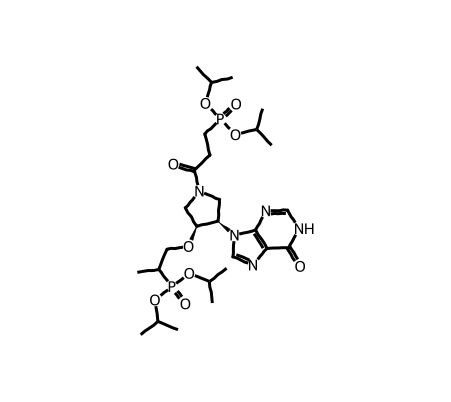 CC(C)OP(=O)(CCC(=O)N1C[C@H](OCC(C)P(=O)(OC(C)C)OC(C)C)[C@H](n2cnc3c(=O)[nH]cnc32)C1)OC(C)C